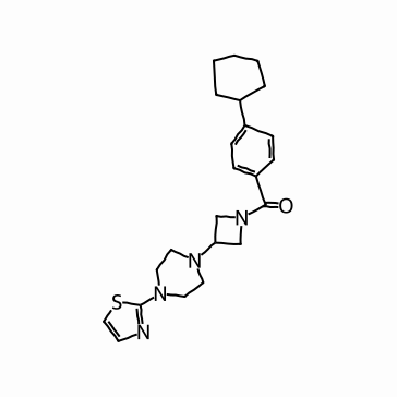 O=C(c1ccc(C2CCCCC2)cc1)N1CC(N2CCN(c3nccs3)CC2)C1